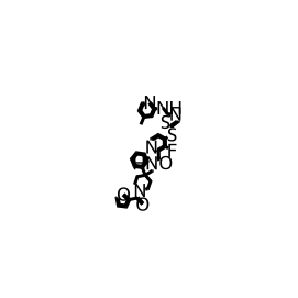 Cc1ccnc(Nc2ncc(Sc3ccnc(C(=O)NCC4(c5ccccc5)CCN(C(=O)c5ccco5)CC4)c3F)s2)c1